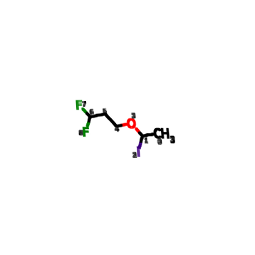 CC(I)OCCC(F)F